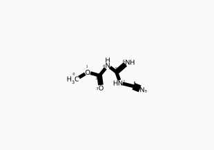 COC(=O)NC(=N)NC#N